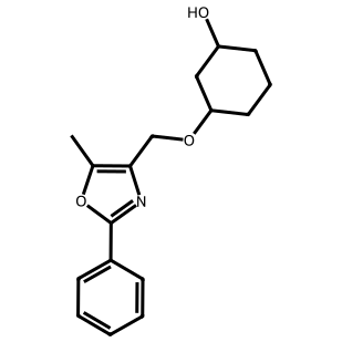 Cc1oc(-c2ccccc2)nc1COC1CCCC(O)C1